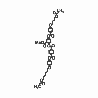 C=CC(=O)OCCCCCCOc1ccc(OC(=O)C2CCC(C(=O)Oc3ccc(OC(=O)C4=CC=C(OCCCCOC(=O)C=C)CC4)cc3C(=O)OC)CC2)cc1